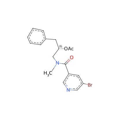 CC(=O)O[C@@H](Cc1ccccc1)CN(C)C(=O)c1cncc(Br)c1